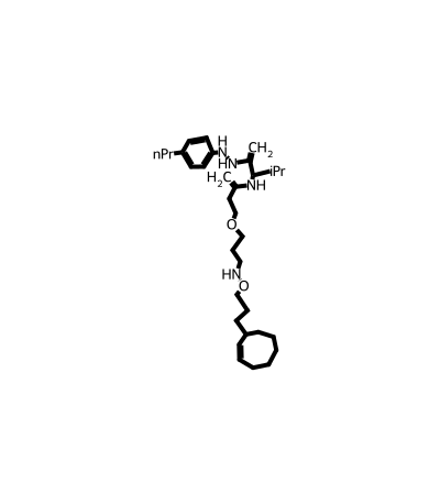 C=C(CCOCCCNOCCCC1/C=C\CCCCC1)NC(C(=C)NNc1ccc(CCC)cc1)C(C)C